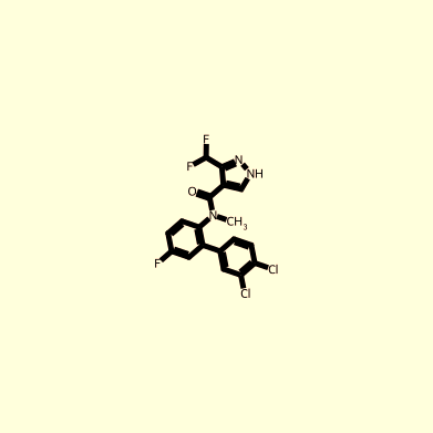 CN(C(=O)c1c[nH]nc1C(F)F)c1ccc(F)cc1-c1ccc(Cl)c(Cl)c1